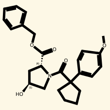 COc1ccc(C2(C(=O)N3C[C@@H](O)C[C@@H]3C(=O)OCc3ccccc3)CCCC2)cc1